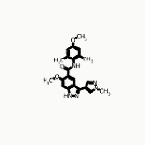 COc1cc(C)c(NC(=O)c2cc3c(-c4cnn(C)c4)n[nH]c3cc2OC)c(C)c1